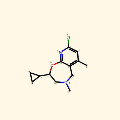 Cc1cc(Cl)nc2c1CN(C)CC(C1CC1)O2